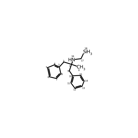 CC(Cc1ccccc1)(Cc1ccccc1)NC[SiH3]